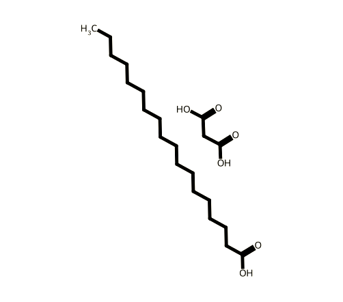 CCCCCCCCCCCCCCCCCC(=O)O.O=C(O)CC(=O)O